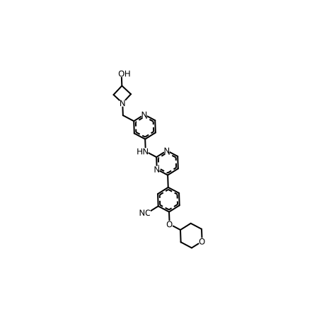 N#Cc1cc(-c2ccnc(Nc3ccnc(CN4CC(O)C4)c3)n2)ccc1OC1CCOCC1